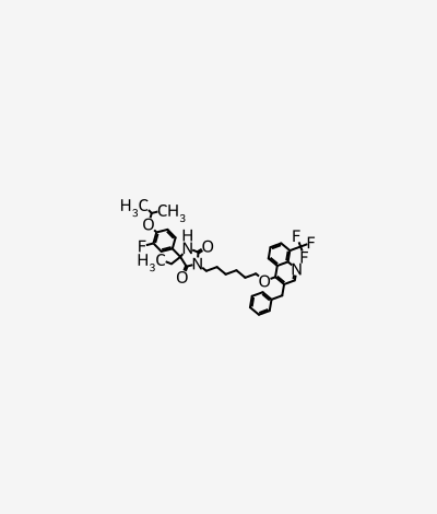 CCC1(c2ccc(OC(C)C)c(F)c2)NC(=O)N(CCCCCCOc2c(Cc3ccccc3)cnc3c(C(F)(F)F)cccc23)C1=O